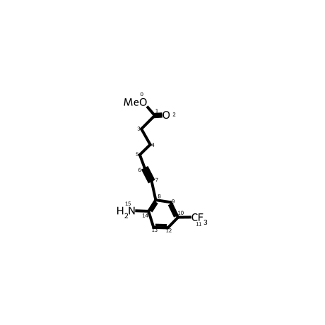 COC(=O)CCCC#Cc1cc(C(F)(F)F)ccc1N